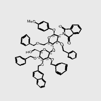 COc1ccc(O[C@@H]2O[C@H](COCc3ccccc3)[C@@H](O[C@@H]3O[C@H](CO)[C@@H](OCc4ccccc4)[C@H](OCc4ccc5ccccc5c4)[C@@H]3OCc3ccccc3)[C@H](OCc3ccccc3)[C@H]2N2C(=O)c3ccccc3C2=O)cc1